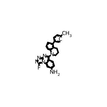 Cc1ccc(-c2cccc3c2CCCN3c2nc3nnc(F)n3c3cc(N)ccc23)cc1